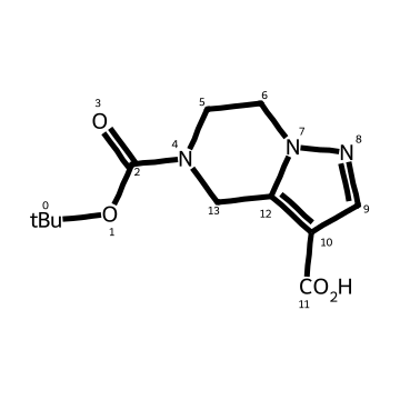 CC(C)(C)OC(=O)N1CCn2ncc(C(=O)O)c2C1